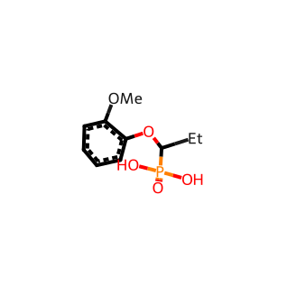 CCC(Oc1ccccc1OC)P(=O)(O)O